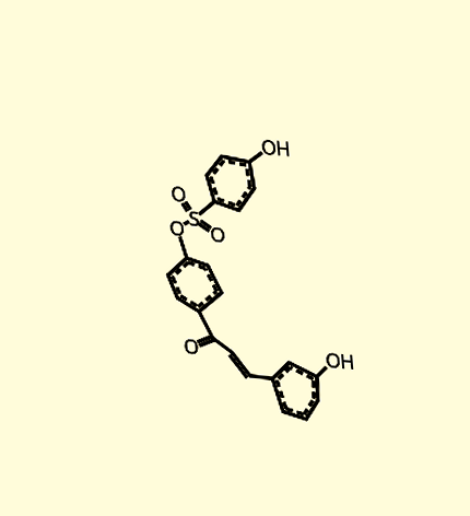 O=C(C=Cc1cccc(O)c1)c1ccc(OS(=O)(=O)c2ccc(O)cc2)cc1